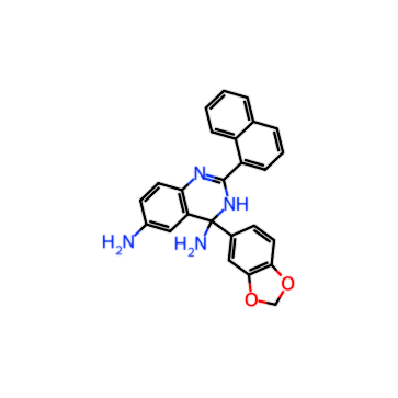 Nc1ccc2c(c1)C(N)(c1ccc3c(c1)OCO3)NC(c1cccc3ccccc13)=N2